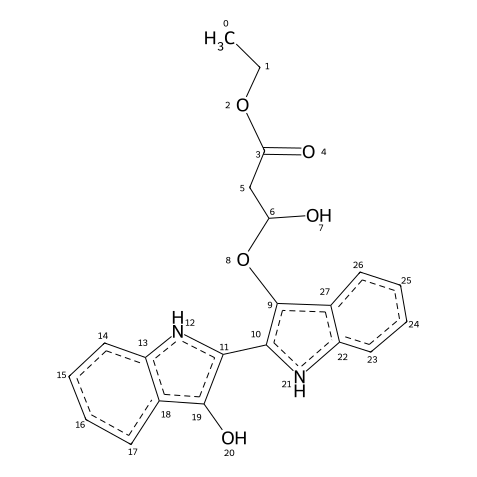 CCOC(=O)CC(O)Oc1c(-c2[nH]c3ccccc3c2O)[nH]c2ccccc12